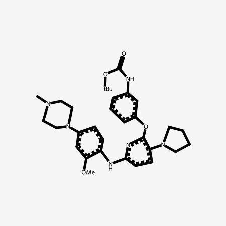 COc1cc(N2CCN(C)CC2)ccc1Nc1ccc(N2CCCC2)c(Oc2cccc(NC(=O)OC(C)(C)C)c2)n1